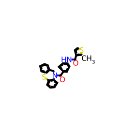 Cc1sccc1C(=O)Nc1ccc(C(=O)N2Cc3ccccc3Sc3ccccc32)cc1